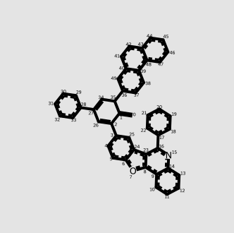 C=C1C(c2ccc3oc4c5ccccc5nc(-c5ccccc5)c4c3c2)=CC(c2ccccc2)=CC1c1ccc2c(ccc3ccccc32)c1